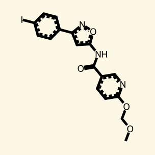 COCOc1ccc(C(=O)Nc2cc(-c3ccc(I)cc3)no2)cn1